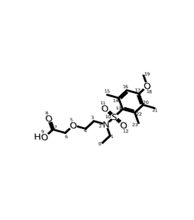 CCN(CCOCC(=O)O)S(=O)(=O)c1c(C)cc(OC)c(C)c1C